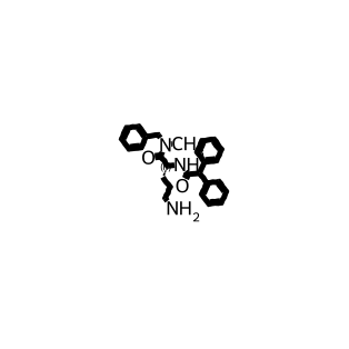 CN(Cc1ccccc1)C(=O)[C@@H](CCCN)NC(=O)C(c1ccccc1)c1ccccc1